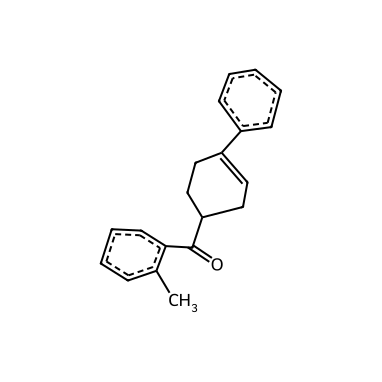 Cc1ccccc1C(=O)C1CC=C(c2ccccc2)CC1